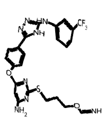 N=COCCCSc1nc(N)cc(Oc2ccc(-c3nnc(Nc4cccc(C(F)(F)F)c4)[nH]3)cc2)n1